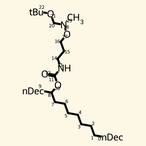 CCCCCCCCCCCCCCCCCC(CCCCCCCCCC)OC(=O)NCCCON(C)COC(C)(C)C